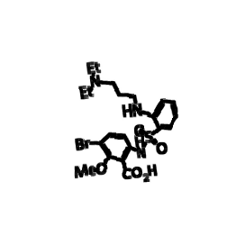 CCN(CC)CCCNc1ccccc1S(=O)(=O)Nc1ccc(Br)c(OC)c1C(=O)O